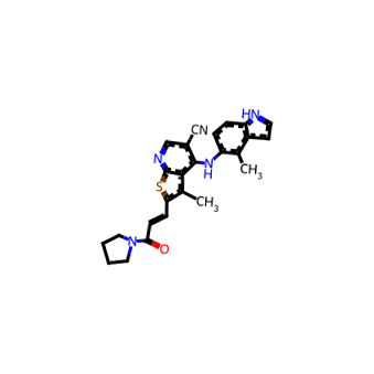 Cc1c(Nc2c(C#N)cnc3sc(C=CC(=O)N4CCCC4)c(C)c23)ccc2[nH]ccc12